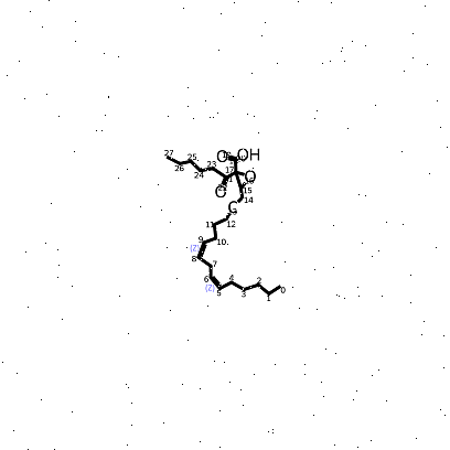 CCCCC/C=C\C/C=C\CCCCCC1OC1(C(=O)O)C(=O)CCCCC